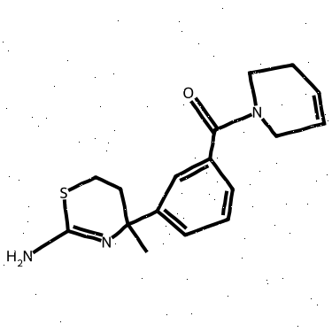 CC1(c2cccc(C(=O)N3CC=CCC3)c2)CCSC(N)=N1